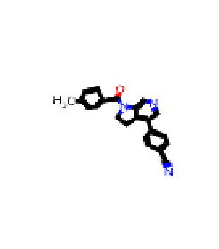 Cc1ccc(C(=O)N2CCc3c(-c4ccc(C#N)cc4)cncc32)cc1